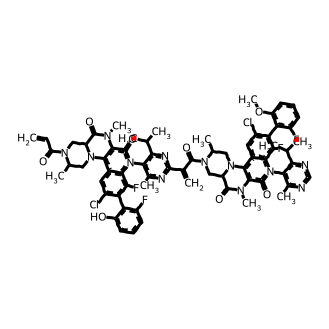 C=CC(=O)N1CC2C(=O)N(C)c3c(c4cc(Cl)c(-c5c(O)cccc5F)c(F)c4n(-c4c(C)nc(C(=C)C(=O)N5CC6C(=O)N(C)c7c(c8cc(Cl)c(-c9c(F)cccc9OC)c(F)c8n(-c8c(C)ncnc8C(C)C)c7=O)N6CC5C)nc4C(C)C)c3=O)N2CC1C